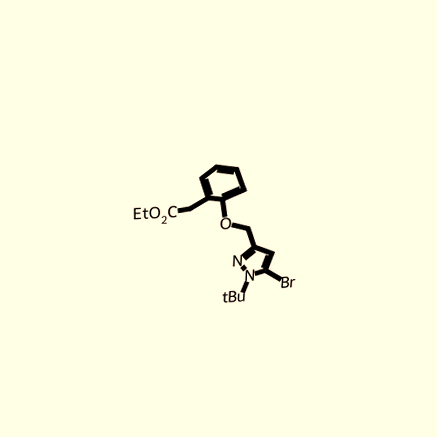 CCOC(=O)Cc1ccccc1OCc1cc(Br)n(C(C)(C)C)n1